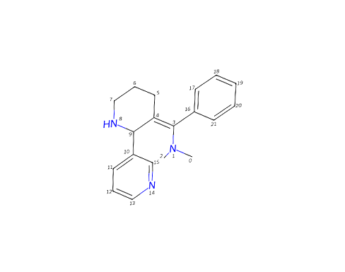 CN(C)C(=C1CCCNC1c1cccnc1)c1ccccc1